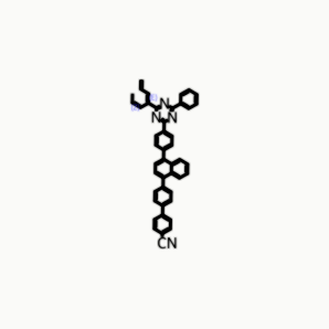 C=C/C=C(\C=C/C)c1nc(-c2ccccc2)nc(-c2ccc(-c3ccc(-c4ccc(-c5ccc(C#N)cc5)cc4)c4ccccc34)cc2)n1